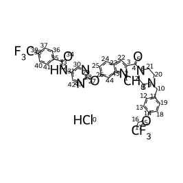 Cl.Cn1c(C(=O)N2CCN(Cc3ccc(OCC(F)(F)F)cc3)CC2)cc2ccc(Oc3ncc(NC(=O)c4ccc(C(F)(F)F)cc4)cn3)cc21